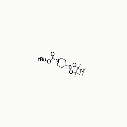 CN(C)C1(C)OB(C2=CCN(C(=O)OC(C)(C)C)CC2)OC1(C)C